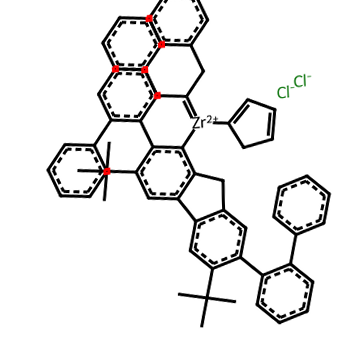 CC(C)(C)c1cc2c(cc1-c1ccccc1-c1ccccc1)Cc1c-2cc(C(C)(C)C)c(-c2ccccc2-c2ccccc2)[c]1[Zr+2]([C]1=CC=CC1)=[C](Cc1ccccc1)Cc1ccccc1.[Cl-].[Cl-]